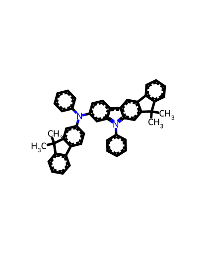 CC1(C)c2ccccc2-c2ccc(N(c3ccccc3)c3ccc4c5cc6c(cc5n(-c5ccccc5)c4c3)C(C)(C)c3ccccc3-6)cc21